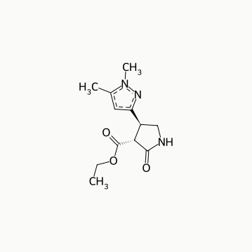 CCOC(=O)[C@H]1C(=O)NC[C@@H]1c1cc(C)n(C)n1